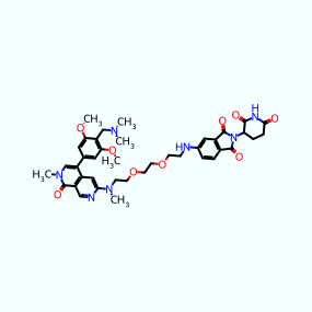 COc1cc(-c2cn(C)c(=O)c3cnc(N(C)CCOCCOCCNc4ccc5c(c4)C(=O)N(C4CCC(=O)NC4=O)C5=O)cc23)cc(OC)c1CN(C)C